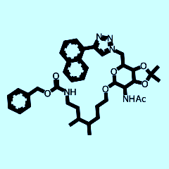 CC(=O)NC1C(OCCCC(C)C(C)CCNC(=O)OCc2ccccc2)OC(Cn2cc(-c3cccc4ccccc34)nn2)C2OC(C)(C)OC12